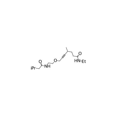 CCNC(=O)CCC(C)C#CCOCCNC(=O)CC(C)C